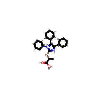 CC(Sc1nc(-c2ccccc2)c(-c2ccccc2)n1-c1ccccc1)C(=O)O